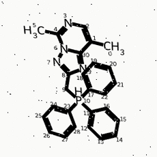 Cc1cnc(C)n2nc(C[PH](c3ccccc3)(c3ccccc3)c3ccccc3)nc12